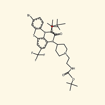 CC(C)(C)OC(=O)NCCN1CCC(N(C(=O)OC(C)(C)C)c2cc(C(F)(F)F)cc3c2N(C(=O)OC(C)(C)C)c2ccc(Br)cc2S3)CC1